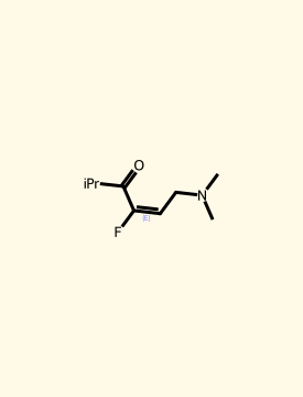 CC(C)C(=O)/C(F)=C\CN(C)C